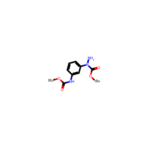 CC(C)(C)OC(=O)Nc1cccc(N(N)C(=O)OC(C)(C)C)c1